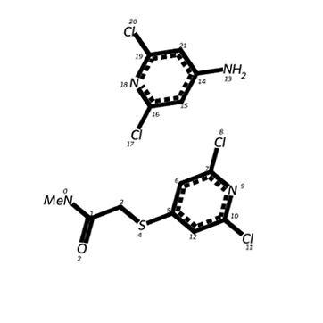 CNC(=O)CSc1cc(Cl)nc(Cl)c1.Nc1cc(Cl)nc(Cl)c1